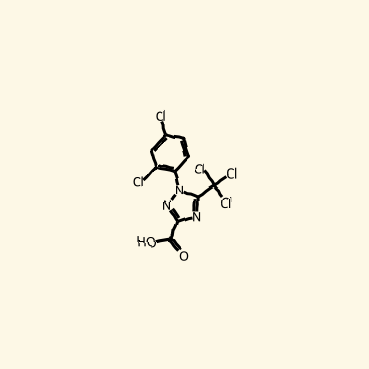 O=C(O)c1nc(C(Cl)(Cl)Cl)n(-c2ccc(Cl)cc2Cl)n1